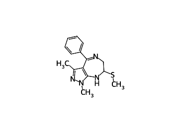 CSC1CN=C(c2ccccc2)c2c(C)nn(C)c2N1